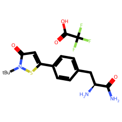 CC(C)(C)n1sc(-c2ccc(C[C@H](N)C(N)=O)cc2)cc1=O.O=C(O)C(F)(F)F